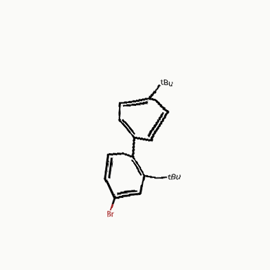 CC(C)(C)c1ccc(-c2ccc(Br)cc2C(C)(C)C)cc1